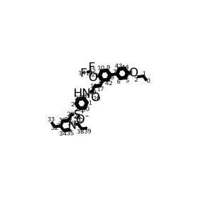 CCCOc1ccc(-c2ccc(OC(F)F)c(/C=C/C(=O)Nc3ccc([S+]([O-])CC4=CC(CC)C=CN4CCC)cc3)c2)cc1